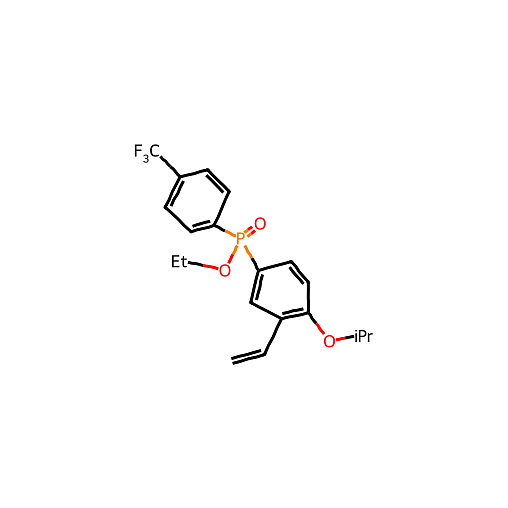 C=Cc1cc(P(=O)(OCC)c2ccc(C(F)(F)F)cc2)ccc1OC(C)C